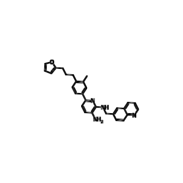 Cc1cc(-c2ccc(N)c(NCc3ccc4ncccc4c3)n2)ccc1CCCc1ccco1